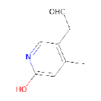 Cc1cc(O)ncc1CC=O